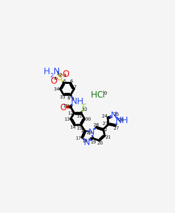 Cl.NS(=O)(=O)c1ccc(NC(=O)c2ccc(-c3cnc4ccc(-c5cn[nH]c5)cn34)cc2F)cc1